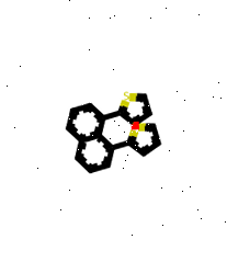 c1csc(-c2cccc3cccc(-c4cccs4)c23)c1